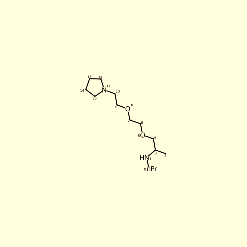 CCCNC(C)COCCOCCN1CCCC1